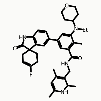 CCN(c1cc(-c2ccc3c(c2)C2(CC=C(F)CC2)C(=O)N3)cc(C(=O)NCC2=C(C)C=C(C)NC2C)c1C)C1CCOCC1